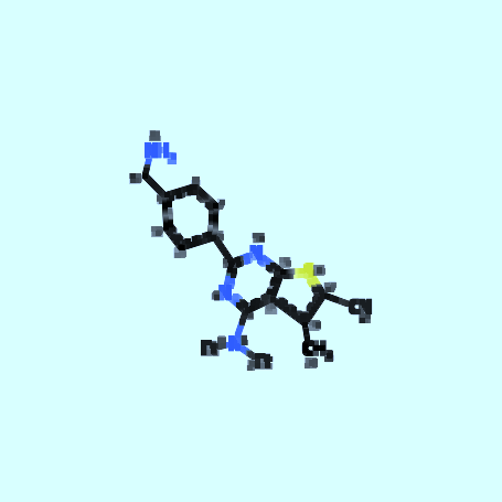 CCN(CC)c1nc(-c2ccc(CN)cc2)nc2sc(C#N)c(C)c12